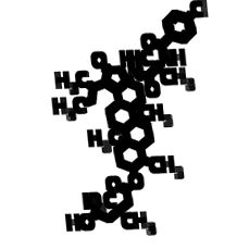 CCC(C)C1=C2C3CCC4C(C)(CCC5C(C)C(OC(=O)CC(C)(C)CC(=O)O)CCC54C)C3CCC2(NC(=O)C(C)(C)NC(=O)c2ccc(Cl)cc2)CC1=O